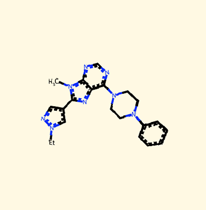 CCn1cc(-c2nc3c(N4CCN(c5ccccc5)CC4)ncnc3n2C)cn1